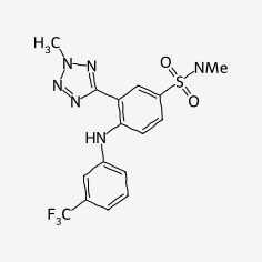 CNS(=O)(=O)c1ccc(Nc2cccc(C(F)(F)F)c2)c(-c2nnn(C)n2)c1